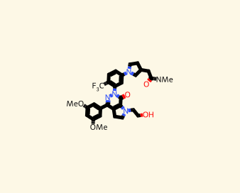 CNC(=O)CC1CCN(c2ccc(C(F)(F)F)c(-n3nc(-c4cc(OC)cc(OC)c4)c4c(c3=O)N(CCO)CC4)c2)C1